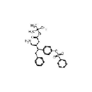 CC(C)(C)OC(=O)CC(CN)C(Cc1ccccc1)c1ccc(OS(=O)(=O)c2ccccc2)cc1